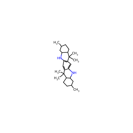 CC1CCC2C(C1)Nc1cc3c(cc1C2(C)C)NC1CC(C)CCC1C3(C)C